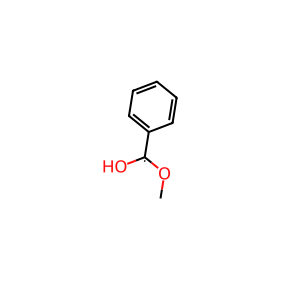 CO[C](O)c1ccccc1